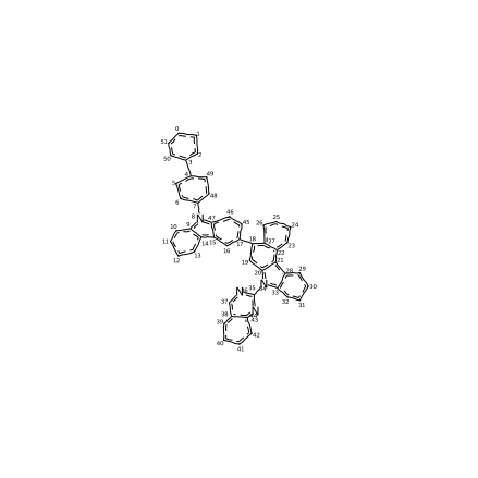 c1ccc(-c2ccc(-n3c4ccccc4c4cc(-c5cc6c(c7ccccc57)c5ccccc5n6-c5ncc6ccccc6n5)ccc43)cc2)cc1